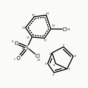 C1=CC2=CC=C1C2.O=S(=O)(Cl)c1cccc(Cl)c1